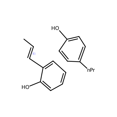 C/C=C/c1ccccc1O.CCCc1ccc(O)cc1